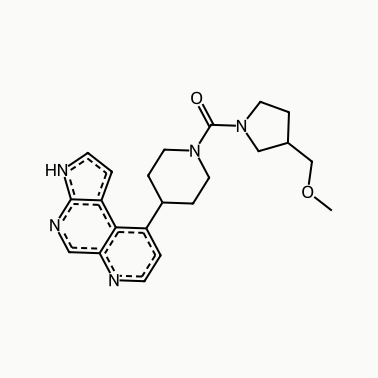 COCC1CCN(C(=O)N2CCC(c3ccnc4cnc5[nH]ccc5c34)CC2)C1